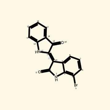 O=C1Nc2c(Br)cccc2/C1=C1/Nc2ccccc2C1=O